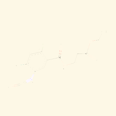 CCOC(=O)C[C@H](C)OC(=O)c1cc(N=C=O)c(F)cc1Cl